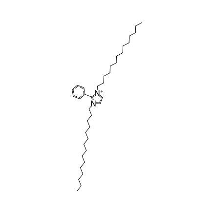 CCCCCCCCCCCCCCCn1cc[n+](CCCCCCCCCCCCCC)c1-c1ccccc1